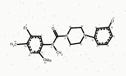 CCc1cc(N(C)C(=O)N2CCN(c3cccc(Cl)c3)CC2)c(OC)nc1C